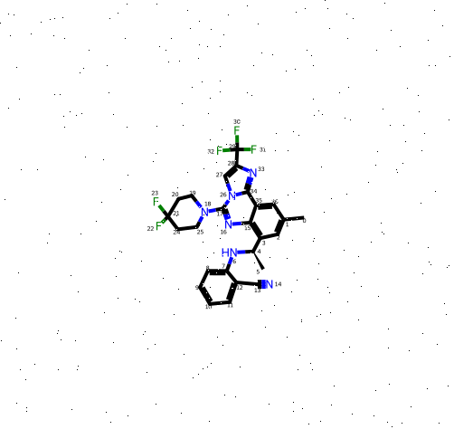 Cc1cc([C@@H](C)Nc2ccccc2C#N)c2nc(N3CCC(F)(F)CC3)n3cc(C(F)(F)F)nc3c2c1